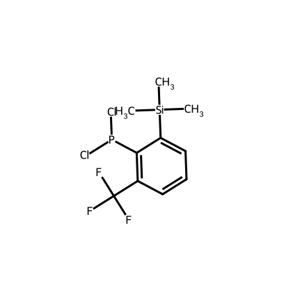 C[Si](C)(C)c1cccc(C(F)(F)F)c1P(Cl)Cl